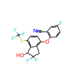 N#Cc1cc(F)ccc1Oc1ccc(SC(F)(F)F)c2c1CC(F)(F)C2O